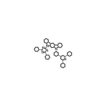 c1ccc(-c2cc(-c3cccc(-n4c5ccccc5c5cc6c7ccccc7n(-c7nc(-c8ccccc8)nc(-c8ccccc8)n7)c6cc54)c3)cc(-c3ccccc3)n2)cc1